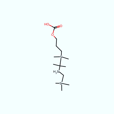 CC(C)([SiH2]C[Si](C)(C)C)[Si](C)(C)CCCOC(=O)O